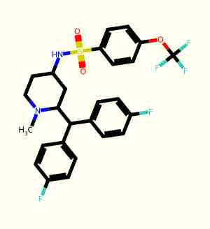 CN1CCC(NS(=O)(=O)c2ccc(OC(F)(F)F)cc2)CC1C(c1ccc(F)cc1)c1ccc(F)cc1